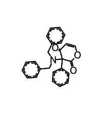 O=C1C=COC(=O)C1(c1ccccc1)N(Cc1ccccc1)Cc1ccccc1